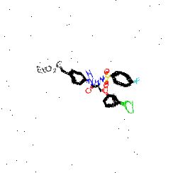 CCOC(=O)Cc1ccc(NC(=O)[C@H](COc2cccc(Cl)c2)NS(=O)(=O)c2ccc(F)cc2)cc1